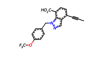 CC#Cc1ccc(C(=O)O)c2c1cnn2Cc1ccc(OC(F)(F)F)cc1